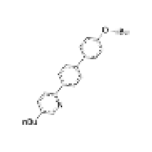 CCCCOc1ccc(-c2ccc(-c3ccc(CCCC)cn3)cc2)cc1